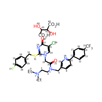 CCN(CC)CCN(Cc1ccc(-c2ccc(C(F)(F)F)cc2)nc1)C(=O)Cn1cc(Cl)c(=O)nc1SCc1ccc(F)cc1.O=C(O)C(O)C(O)C(=O)O